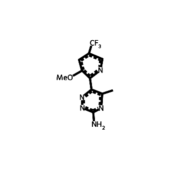 COc1cc(C(F)(F)F)cnc1-c1nnc(N)nc1C